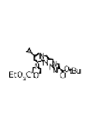 CCOC(=O)C1CN(c2cc(C3CC3)cn3cc(Cn4cc(C(=O)OC(C)(C)C)nn4)nc23)CCO1